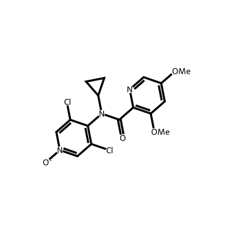 COc1cnc(C(=O)N(c2c(Cl)c[n+]([O-])cc2Cl)C2CC2)c(OC)c1